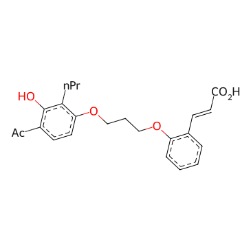 CCCc1c(OCCCOc2ccccc2C=CC(=O)O)ccc(C(C)=O)c1O